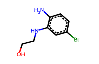 Nc1ccc(Br)cc1NCCO